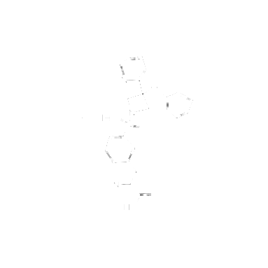 Cl.Cl.NC(Cc1cccc(S(=O)(=O)N2CC(Oc3ccccc3)(c3ccccn3)C2)c1)C(=O)O